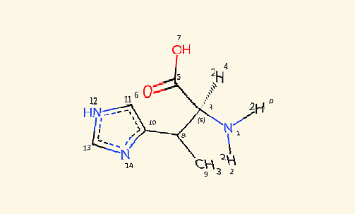 [2H]N([2H])[C@]([2H])(C(=O)O)C(C)c1c[nH]cn1